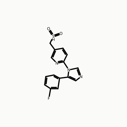 O=[SH](=O)Cc1ccc(-n2cncc2-c2cccc(F)c2)nc1